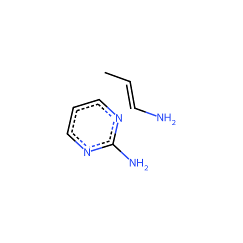 CC=CN.Nc1ncccn1